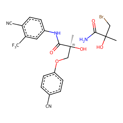 CC(O)(CBr)C(N)=O.C[C@](O)(COc1ccc(C#N)cc1)C(=O)Nc1ccc(C#N)c(C(F)(F)F)c1